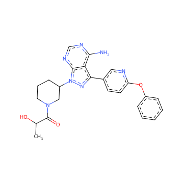 CC(O)C(=O)N1CCCC(n2nc(-c3ccc(Oc4ccccc4)nc3)c3c(N)ncnc32)C1